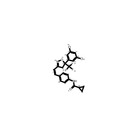 O=C(Nc1ccc(/C=C\C2=NOC(c3cc(Cl)cc(Cl)c3)(C(F)(F)F)C2)cc1)C1CC1